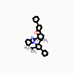 CC(C)c1cc(-c2ccccc2)cc(C(C)C)c1-n1c(-c2cccc3c2oc2cc(-c4ccccc4)ccc23)nc2ccccc21